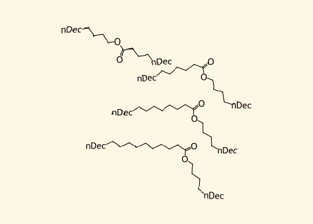 CCCCCCCCCCCCCCCC(=O)OCCCCCCCCCCCCCC.CCCCCCCCCCCCCCCCCC(=O)OCCCCCCCCCCCCCC.CCCCCCCCCCCCCCCCCCCC(=O)OCCCCCCCCCCCCCC.CCCCCCCCCCCCCCOC(=O)CCCCCCCCCCCCC